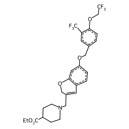 CCOC(=O)C1CCN(CC2=Cc3ccc(OCc4ccc(OCC(F)(F)F)c(C(F)(F)F)c4)cc3OC2)CC1